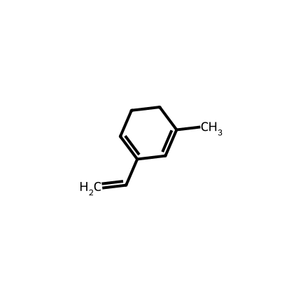 C=CC1=CCCC(C)=C1